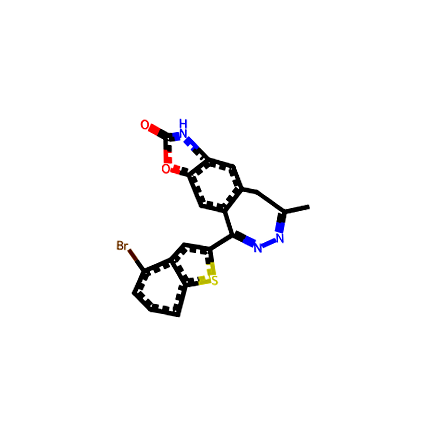 CC1=NN=C(c2cc3c(Br)cccc3s2)c2cc3oc(=O)[nH]c3cc2C1